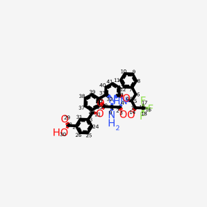 NC(C(=O)NC(Cc1ccccc1)C(=O)C(F)(F)F)(C(=O)OCc1cccc(C(=O)O)c1)n1c(-c2ccccc2)cccc1=O